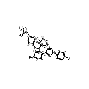 NC(=O)Nc1ccc(CCN2C(O)CO[C@@H]2c2cn(-c3ccc(Br)cc3)nc2-c2ccc(F)cc2)cc1